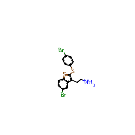 NCCc1c(Sc2ccc(Br)cc2)sc2ccc(Br)cc12